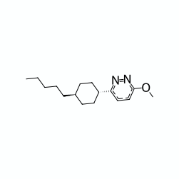 CCCCC[C@H]1CC[C@H](c2ccc(OC)nn2)CC1